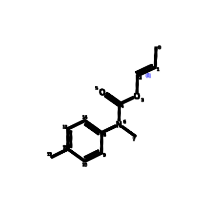 C/C=C/OC(=O)N(C)c1ccc(C)cc1